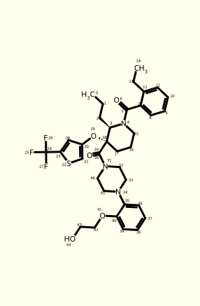 CCC[C@H]1N(C(=O)c2ccccc2CC)CCC[C@@]1(Oc1csc(C(F)(F)F)c1)C(=O)N1CCN(c2ccccc2OCCO)CC1